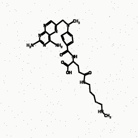 CNCCCCCNC(=O)CCC(NC(=O)c1ccc(N(C)Cc2cnc3nc(N)nc(N)c3n2)cc1)C(=O)O